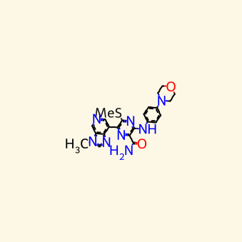 CSc1nc(Nc2ccc(N3CCOCC3)cc2)c(C(N)=O)nc1-c1cncc2c1ncn2C